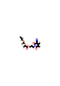 C=C1C(=O)N(CCCOC(=O)C(C)SC(=S)SCCC)C(=O)C(C#N)=C1C